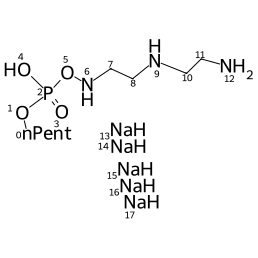 CCCCCOP(=O)(O)ONCCNCCN.[NaH].[NaH].[NaH].[NaH].[NaH]